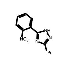 CC(C)c1n[nH]c(-c2ccccc2[N+](=O)[O-])n1